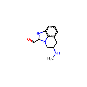 CN[C@@H]1Cc2cccc3c2N(C1)C(C=O)N3